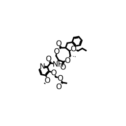 CCCO[C@@H]1C(Cc2ccccc2)C(=O)OC[C@H](NC(=O)c2nccc(OC)c2OCOC(C)=O)C(=O)O[C@H]1C